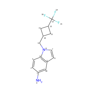 Nc1ccc2c(ccn2CC2CC(C(F)(F)F)C2)c1